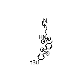 Cc1ccc(S(=O)(=O)c2ccc(C(C)(C)C)cc2)cc1S(=O)(=O)NCCCn1ccnc1